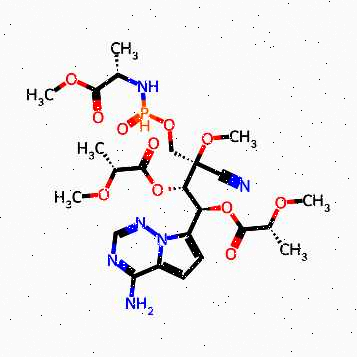 COC(=O)[C@H](C)N[PH](=O)OC[C@@](C#N)(OC)[C@@H](OC(=O)[C@@H](C)OC)[C@@H](OC(=O)[C@@H](C)OC)c1ccc2c(N)ncnn12